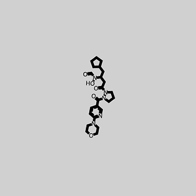 O=CN(O)C(CC(=O)N1CCCN1C(=O)c1ccc(N2CCOCC2)nc1)CC1CCCC1